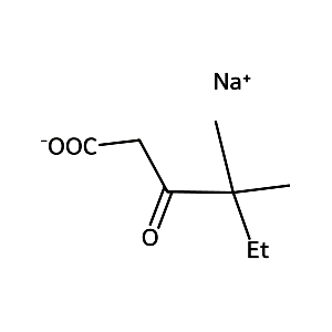 CCC(C)(C)C(=O)CC(=O)[O-].[Na+]